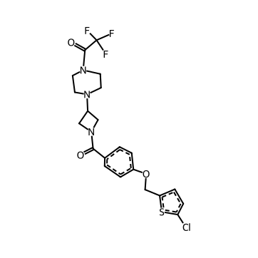 O=C(c1ccc(OCc2ccc(Cl)s2)cc1)N1CC(N2CCN(C(=O)C(F)(F)F)CC2)C1